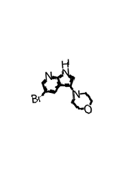 Brc1cnc2[nH]cc(N3CCOCC3)c2c1